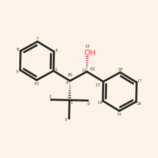 CC(C)(C)[C@H](c1ccccc1)[C@H](O)c1ccccc1